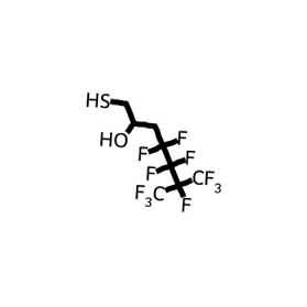 OC(CS)CC(F)(F)C(F)(F)C(F)(C(F)(F)F)C(F)(F)F